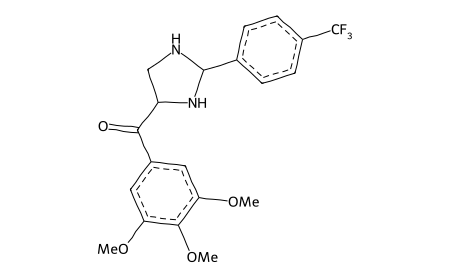 COc1cc(C(=O)C2CNC(c3ccc(C(F)(F)F)cc3)N2)cc(OC)c1OC